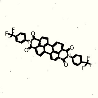 O=C1c2ccc3c4ccc5c6c(ccc(c7ccc(c2c37)C(=O)N1c1ccc(C(F)(F)F)cc1)c64)C(=O)N(c1ccc(C(F)(F)F)cc1)C5=O